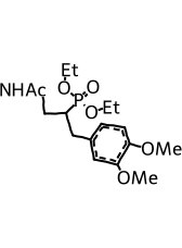 CCOP(=O)(OCC)C(CNC(C)=O)Cc1ccc(OC)c(OC)c1